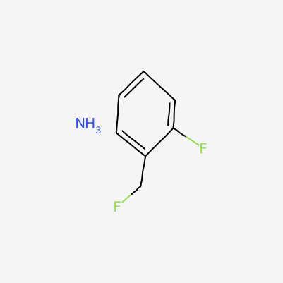 FCc1ccccc1F.N